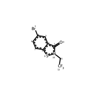 O=c1c2cc(Br)ccc2sn1CC(F)(F)F